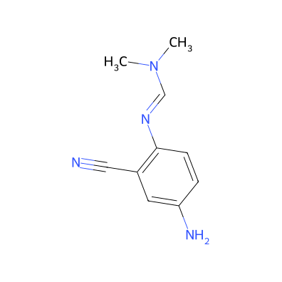 CN(C)C=Nc1ccc(N)cc1C#N